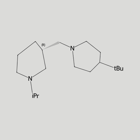 CC(C)N1CCC[C@H](CN2CCC(C(C)(C)C)CC2)C1